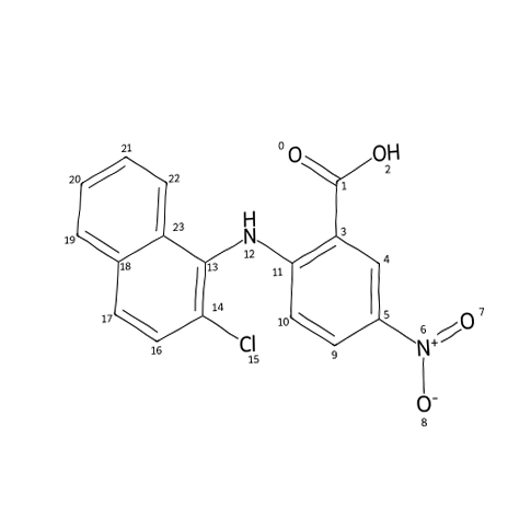 O=C(O)c1cc([N+](=O)[O-])ccc1Nc1c(Cl)ccc2ccccc12